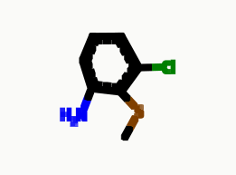 CSc1c(N)cccc1Cl